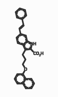 O=C(O)c1[nH]c2cc(C=Cc3ccccc3)ccc2c1CCCOc1cccc2ccccc12